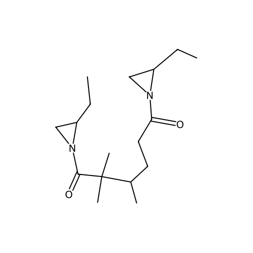 CCC1CN1C(=O)CCC(C)C(C)(C)C(=O)N1CC1CC